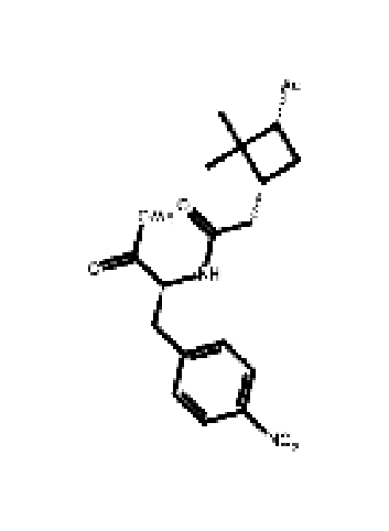 COC(=O)[C@H](Cc1ccc([N+](=O)[O-])cc1)NC(=O)C[C@H]1C[C@@H](C(C)=O)C1(C)C